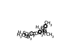 Cc1ccc(N(CC(C)C)S(=O)(=O)c2ccc(OCC3CCN(C(=O)OC(C)(C)C)CC3F)cc2)c(C)c1